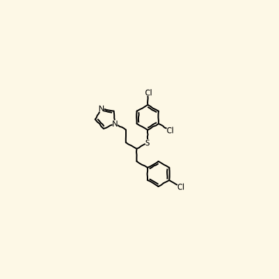 Clc1ccc(CC(CCn2ccnc2)Sc2ccc(Cl)cc2Cl)cc1